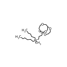 CCCCCC[N+](C)(CCCCC)CCC[Si]12OCCOCC(CO1)OCCO2